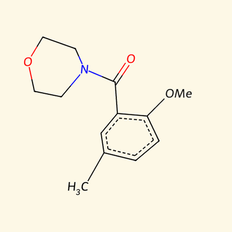 COc1ccc(C)cc1C(=O)N1CCOCC1